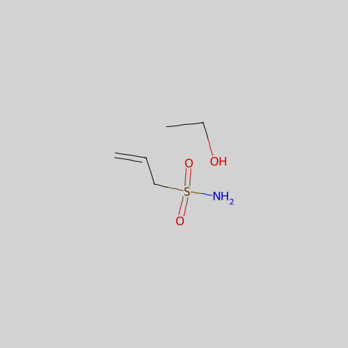 C=CCS(N)(=O)=O.CCO